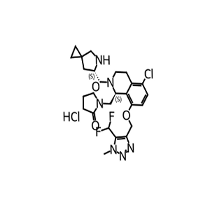 Cl.Cn1nnc(COc2ccc(Cl)c3c2[C@@H](CN2CCCC2=O)N(C(=O)[C@@H]2CC4(CC4)CN2)CC3)c1C(F)F